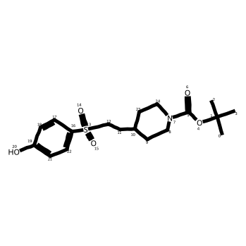 CC(C)(C)OC(=O)N1CCC(CCS(=O)(=O)c2ccc(O)cc2)CC1